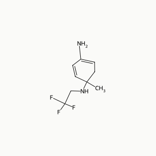 CC1(NCC(F)(F)F)C=CC(N)=CC1